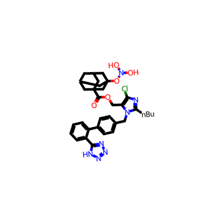 CCCCc1nc(Cl)c(COC(=O)C23CC4CC(CC(ON(O)O)(C4)C2)C3)n1Cc1ccc(-c2ccccc2-c2nnn[nH]2)cc1